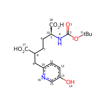 CC(C)(C)OC(=O)N[C@@H](CCC(Cc1ccc(O)cn1)C(=O)O)C(=O)O